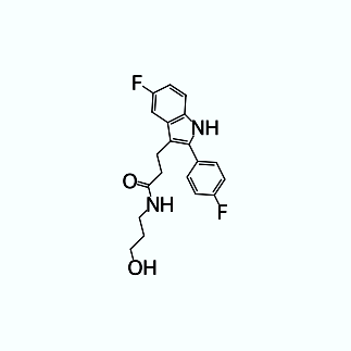 O=C(CCc1c(-c2ccc(F)cc2)[nH]c2ccc(F)cc12)NCCCO